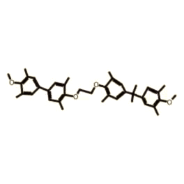 COc1c(C)cc(-c2cc(C)c(OCCOc3c(C)cc(C(C)(C)c4cc(C)c(OC)c(C)c4)cc3C)c(C)c2)cc1C